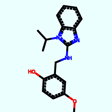 COc1ccc(O)c(CNc2nc3ccccc3n2C(C)C)c1